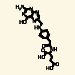 Nc1nc(O)c2nc(CNc3ccc(CC(=O)NC(CCC(=O)O)C(=O)O)cc3)cnc2n1